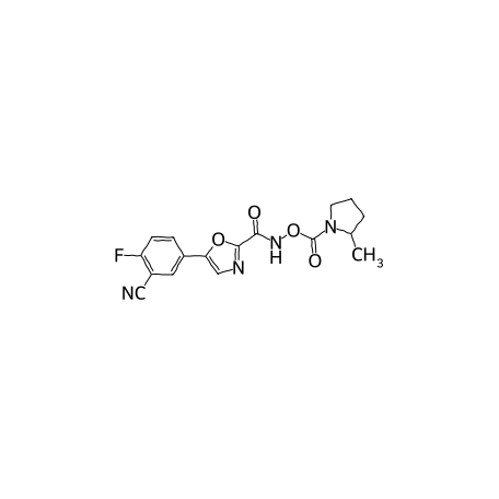 CC1CCCN1C(=O)ONC(=O)c1ncc(-c2ccc(F)c(C#N)c2)o1